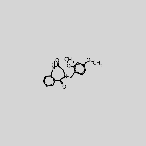 COc1ccc(CN2CC(=O)Nc3ccccc3C2=O)c(OC)c1